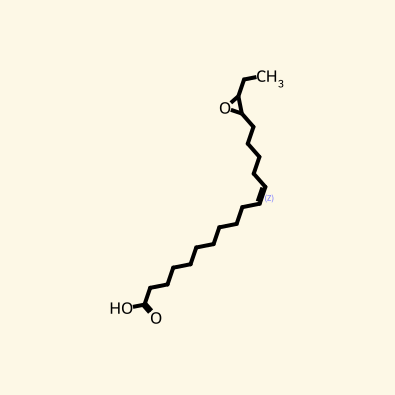 CCC1OC1CCCC/C=C\CCCCCCCCCC(=O)O